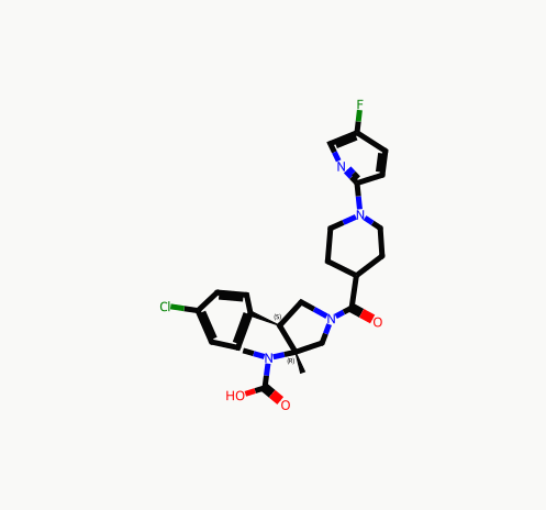 CN(C(=O)O)[C@@]1(C)CN(C(=O)C2CCN(c3ccc(F)cn3)CC2)C[C@@H]1c1ccc(Cl)cc1